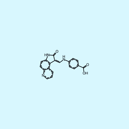 O=C1Nc2ccc3ncccc3c2/C1=C/Nc1ccc(C(=O)O)cc1